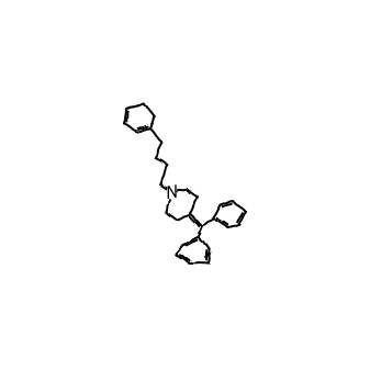 C1=CCCC(CCCCN2CCC(=C(c3ccccc3)c3ccccc3)CC2)=C1